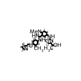 CNc1ccc(NC2=NC([C@@H](C)O)CO2)cc1C(=N)Nc1ccc(OCc2nccs2)c(C)c1